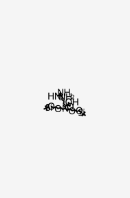 CC(C)(C)[Si](C)(C)OCCOCCN(CCOCCO[Si](C)(C)C(C)(C)C)C(CCCNC(=N)N)C(=O)O